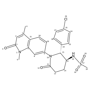 Cc1cc(=O)n(C)c2cc(N3C(=O)CC[C@H](NS(C)(=O)=O)[C@H]3c3ccc(Cl)cc3)ccc12